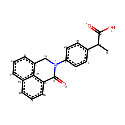 CC(C(=O)O)c1ccc(N2Cc3cccc4cccc(c34)C2=O)cc1